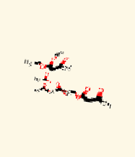 CC(=O)[O-].CC(=O)[O-].CC(=O)[O-].CCOC(=O)CC(C)=O.CCOC(=O)CC(C)=O.[Al+3]